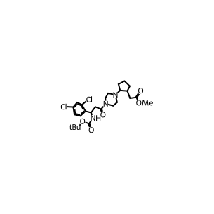 COC(=O)CC1CCCC1N1CCN(C(=O)CC(NC(=O)OC(C)(C)C)c2ccc(Cl)cc2Cl)CC1